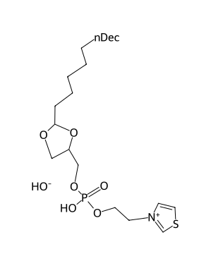 CCCCCCCCCCCCCCCC1OCC(COP(=O)(O)OCC[n+]2ccsc2)O1.[OH-]